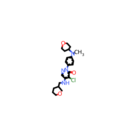 CN(c1ccc(-n2ncc(NCC3CCCOC3)c(Cl)c2=O)cc1)C1CCOCC1